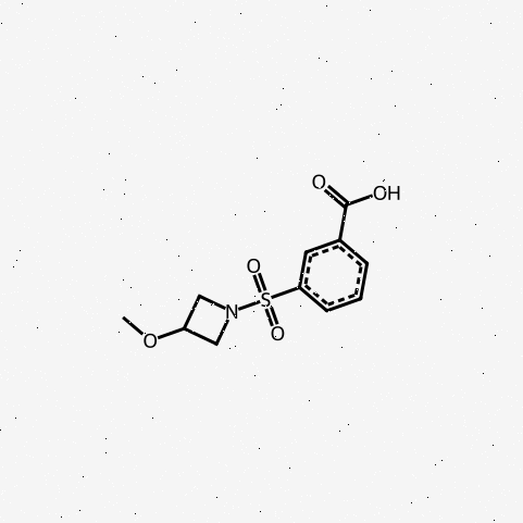 COC1CN(S(=O)(=O)c2cccc(C(=O)O)c2)C1